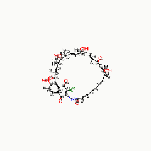 C/C1=C/C=C\C=C\[C@H](C)[C@@H](O)CC(=O)/C(C)=C/C[C@H](O)/C=C/[C@H](C)[C@H](O)[C@@H](C)/C=C(\C)C(=O)c2c(O)c(C)cc3c2C(=O)C(Cl)=C(NC1=O)C3=O